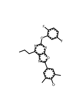 CCCc1nc(Oc2cc(F)ccc2F)nc2oc(-c3cc(C)c([O])c(C)c3)nc12